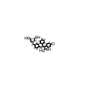 O=C1Nc2cc(Cl)ccc2/C1=C(/Nc1ccc(CN(CCO)CCO)cc1)c1ccccc1